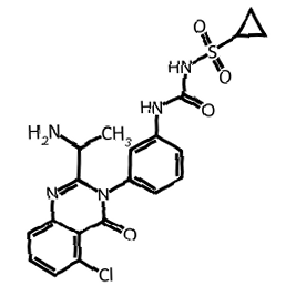 CC(N)c1nc2cccc(Cl)c2c(=O)n1-c1cccc(NC(=O)NS(=O)(=O)C2CC2)c1